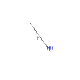 CCCCCCCCC(I)CCCCCCNCC